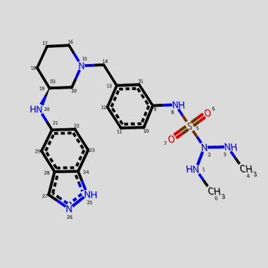 CNN(NC)S(=O)(=O)Nc1cccc(CN2CCC[C@H](Nc3ccc4[nH]ncc4c3)C2)c1